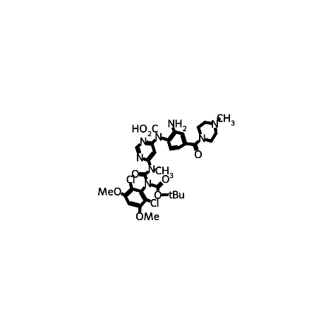 COc1cc(OC)c(Cl)c(N(C(=O)OC(C)(C)C)C(=O)N(C)c2cc(N(C(=O)O)c3ccc(C(=O)N4CCN(C)CC4)cc3N)ncn2)c1Cl